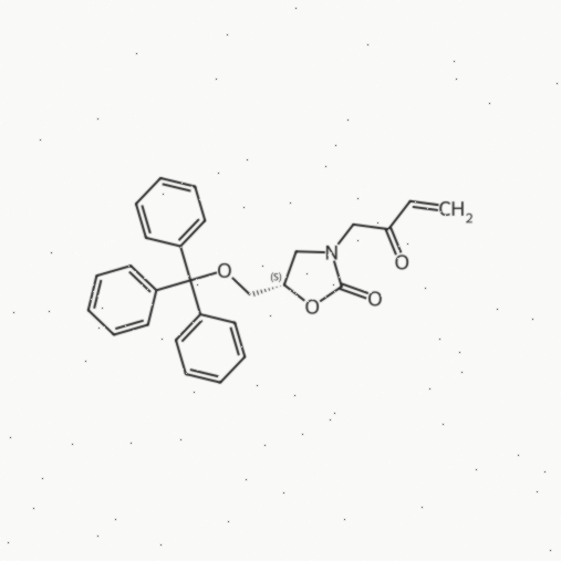 C=CC(=O)CN1C[C@@H](COC(c2ccccc2)(c2ccccc2)c2ccccc2)OC1=O